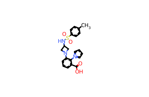 Cc1ccc(S(=O)(=O)NC2CN(c3cccc(C(=O)O)c3-n3cccc3)C2)cc1